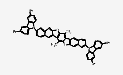 Cc1c2oc3cc4cc(-n5c6ccc(C(C)C)cc6c6cc(C(C)C)ccc65)ccc4cc3c2c(C)c2oc3cc4cc(-n5c6ccc(C(C)C)cc6c6cc(C(C)C)ccc65)ccc4cc3c12